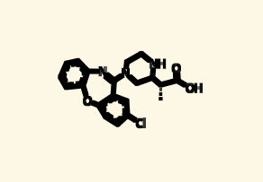 C[C@@H](C(=O)O)C1CN(C2=Nc3ccccc3Oc3ccc(Cl)cc32)CCN1